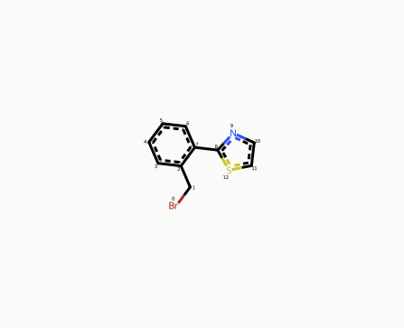 BrCc1ccccc1-c1nccs1